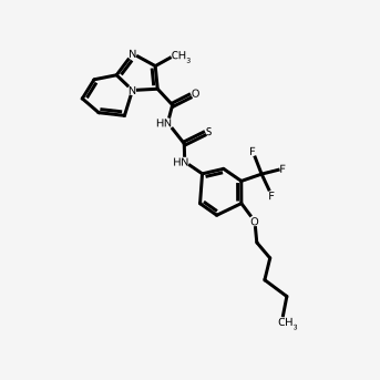 CCCCCOc1ccc(NC(=S)NC(=O)c2c(C)nc3ccccn23)cc1C(F)(F)F